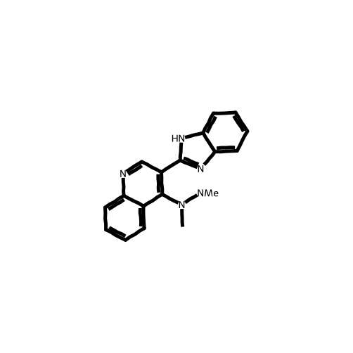 CNN(C)c1c(-c2nc3ccccc3[nH]2)cnc2ccccc12